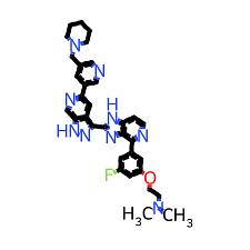 CN(C)CCOc1cc(F)cc(-c2nccc3[nH]c(-c4n[nH]c5cnc(-c6cncc(CN7CCCCC7)c6)cc45)nc23)c1